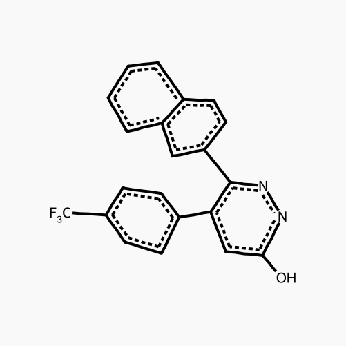 Oc1cc(-c2ccc(C(F)(F)F)cc2)c(-c2ccc3ccccc3c2)nn1